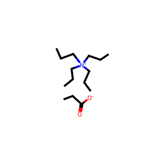 CCC(=O)[O-].CCC[N+](CCC)(CCC)CCC